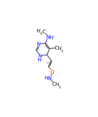 CNO/C=C/C1NC=NC(NC)=C1C